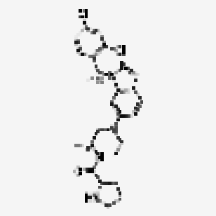 C[C@@H]1CN(c2ccc3cnn([C@H](C)c4ccc(Cl)cc4Cl)c3c2)CCN1C(=O)C1CCCN1